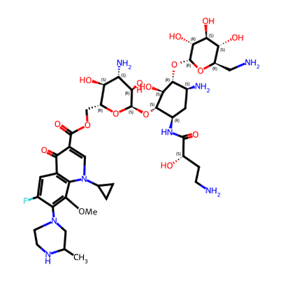 COc1c(N2CCNC(C)C2)c(F)cc2c(=O)c(C(=O)OC[C@H]3O[C@H](O[C@@H]4[C@@H](O)[C@H](O[C@H]5O[C@H](CN)[C@@H](O)[C@H](O)[C@H]5O)[C@@H](N)C[C@H]4NC(=O)[C@@H](O)CCN)[C@H](O)[C@@H](N)[C@@H]3O)cn(C3CC3)c12